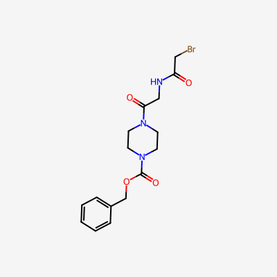 O=C(CBr)NCC(=O)N1CCN(C(=O)OCc2ccccc2)CC1